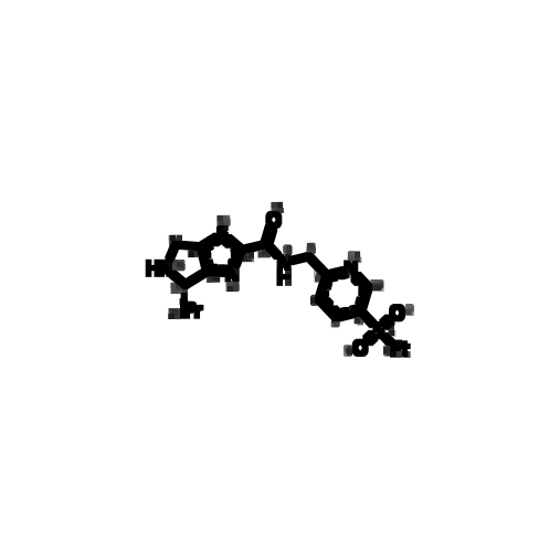 CCS(=O)(=O)c1ccc(CNC(=O)c2nc3c(s2)CN[C@H]3C(C)C)nc1